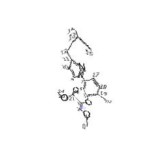 CO/C=C(\Oc1cc(-n2ccc(CC(C)C)n2)ccc1C)C(=O)OC